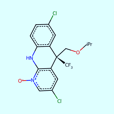 CC(C)OC[C@@]1(C(F)(F)F)c2cc(Cl)ccc2Nc2c1cc(Cl)c[n+]2[O-]